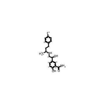 CC(CCc1ccc(F)cc1)NCC(O)c1ccc(O)c(C(N)=O)c1